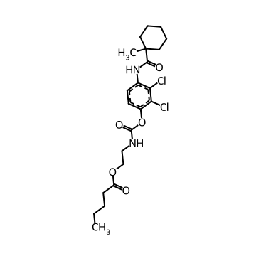 CCCCC(=O)OCCNC(=O)Oc1ccc(NC(=O)C2(C)CCCCC2)c(Cl)c1Cl